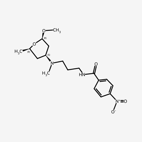 CO[C@H]1C[C@@H](N(C)CCCNC(=O)c2ccc([N+](=O)[O-])cc2)C[C@@H](C)O1